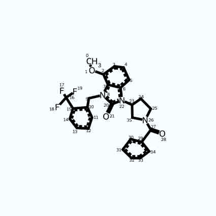 COc1cccc2c1n(Cc1ccccc1C(F)(F)F)c(=O)n2C1CCN(C(=O)c2ccccc2)C1